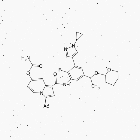 CC(=O)c1cc(C(=O)Nc2cc(C(C)OC3CCCCO3)cc(-c3cnn(C4CC4)c3)c2F)c2cc(OC(N)=O)ccn12